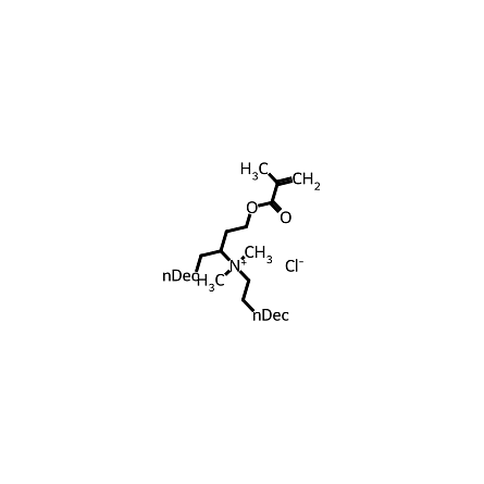 C=C(C)C(=O)OCCC(CCCCCCCCCCC)[N+](C)(C)CCCCCCCCCCCC.[Cl-]